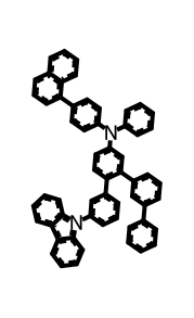 c1ccc(-c2cccc(-c3cc(N(c4ccccc4)c4ccc(-c5cccc6ccccc56)cc4)ccc3-c3cccc(-n4c5ccccc5c5ccccc54)c3)c2)cc1